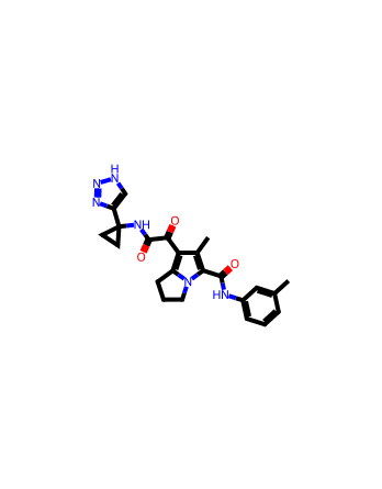 Cc1cccc(NC(=O)c2c(C)c(C(=O)C(=O)NC3(c4c[nH]nn4)CC3)c3n2CCC3)c1